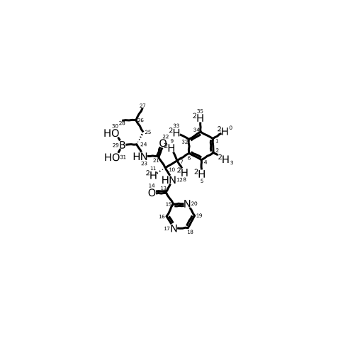 [2H]c1c([2H])c([2H])c(C([2H])([2H])[C@@]([2H])(NC(=O)c2cnccn2)C(=O)N[C@@H](CC(C)C)B(O)O)c([2H])c1[2H]